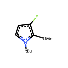 COc1c(F)ccn1C(C)(C)C